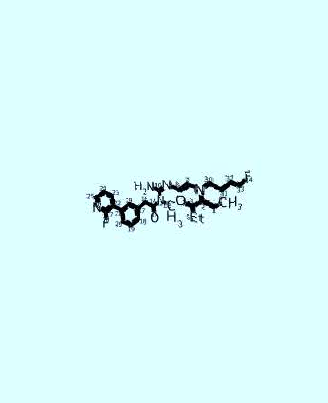 C/C=C(/C(=O)CC)N(/C=C/N=C(/N)N(C)C(=O)Cc1cccc(-c2cccnc2F)c1)CCCCF